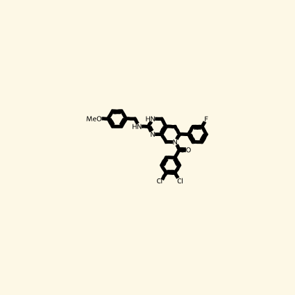 COc1ccc(CNC2=NC3=C(CN2)CC(c2cccc(F)c2)N(C(=O)c2ccc(Cl)c(Cl)c2)C3)cc1